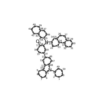 c1ccc(-n2c3ccccc3c3cc(-c4ccc5c(c4)N(c4ccc6c(ccc7ccccc76)c4)c4ccc6ccccc6c4O5)ccc32)cc1